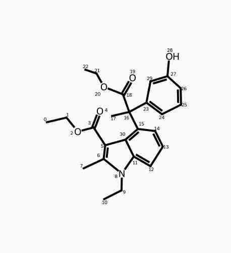 CCOC(=O)c1c(C)n(CC)c2cccc(C(C)(C(=O)OCC)c3cccc(O)c3)c12